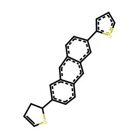 C1=CSC(c2ccc3cc4cc(-c5cccs5)ccc4cc3c2)C1